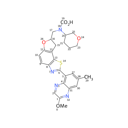 COc1cnc2c(-c3nc4ccc5c(c4s3)CC(CN(C(=O)O)C3CCCOC3)O5)cc(C)cc2n1